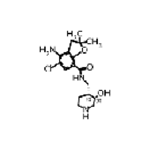 CC1(C)Cc2c(N)c(Cl)cc(C(=O)NC[C@H]3CCNC[C@@H]3O)c2O1